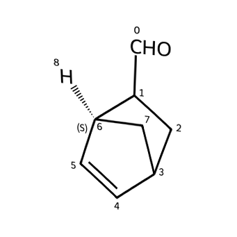 O=CC1CC2C=C[C@@H]1C2